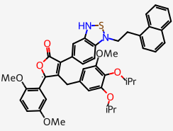 COc1ccc(OC)c([C]2OC(=O)C(c3ccc4c(c3)NSN4CCc3cccc4ccccc34)=C2Cc2cc(OC)c(OC(C)C)c(OC(C)C)c2)c1